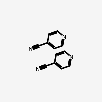 N#Cc1ccncc1.N#Cc1ccncc1